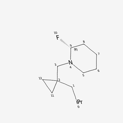 CC(C)CC1(CN2CCCC[C@H]2F)CC1